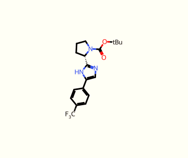 CC(C)(C)OC(=O)N1CCC[C@H]1c1ncc(-c2ccc(C(F)(F)F)cc2)[nH]1